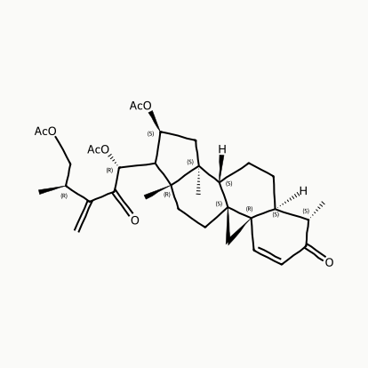 C=C(C(=O)[C@H](OC(C)=O)C1[C@@H](OC(C)=O)C[C@@]2(C)[C@@H]3CC[C@H]4[C@H](C)C(=O)C=C[C@@]45C[C@@]35CC[C@]12C)[C@@H](C)COC(C)=O